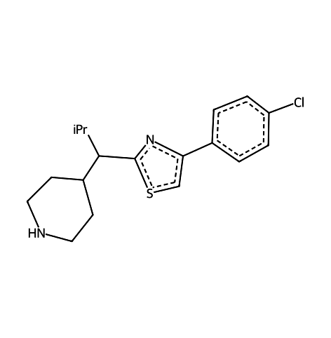 CC(C)C(c1nc(-c2ccc(Cl)cc2)cs1)C1CCNCC1